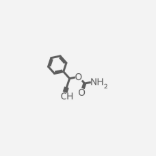 C#CC(OC(N)=O)c1ccccc1